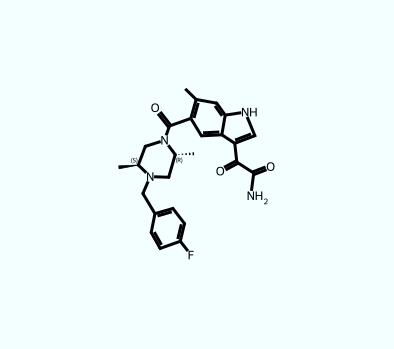 Cc1cc2[nH]cc(C(=O)C(N)=O)c2cc1C(=O)N1C[C@H](C)N(Cc2ccc(F)cc2)C[C@H]1C